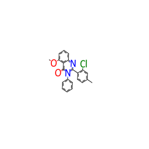 COc1cccc2nc(-c3ccc(C)cc3Cl)n(-c3ccccc3)c(=O)c12